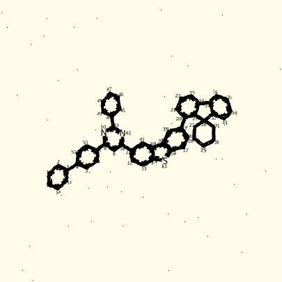 c1ccc(-c2ccc(-c3cc(-c4ccc5sc6ccc(-c7cccc8c7C7(CCCCC7)c7ccccc7-8)cc6c5c4)nc(-c4ccccc4)n3)cc2)cc1